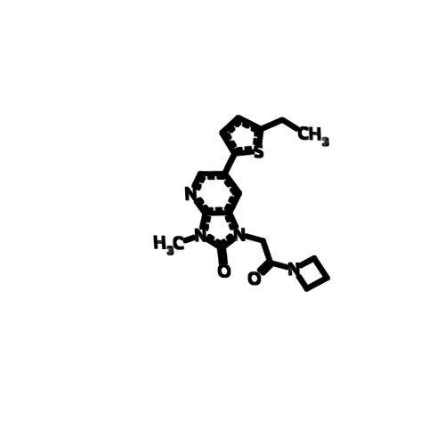 CCc1ccc(-c2cnc3c(c2)n(CC(=O)N2CCC2)c(=O)n3C)s1